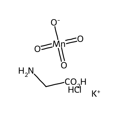 Cl.NCC(=O)O.[K+].[O]=[Mn](=[O])(=[O])[O-]